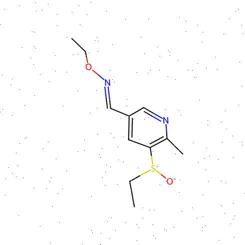 CCO/N=C/c1cnc(C)c([S+]([O-])CC)c1